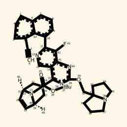 C#Cc1cccc2cccc(-c3ncc4c(N5C[C@H]6C=C[C@@H](C5)N6C(=O)OC(C)(C)C)nc(OCC56CCCN5CCC6)nc4c3F)c12